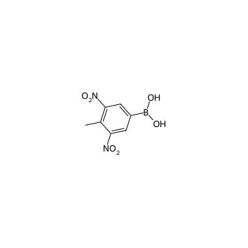 Cc1c([N+](=O)[O-])cc(B(O)O)cc1[N+](=O)[O-]